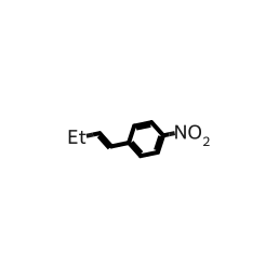 [CH2]CC=Cc1ccc([N+](=O)[O-])cc1